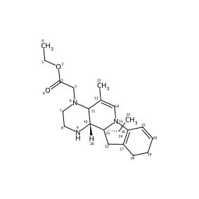 CCOC(=O)CN1CCN[C@@H]2C1C(C)=CN1C3=C(CCC=C3)C[C@@]21CC